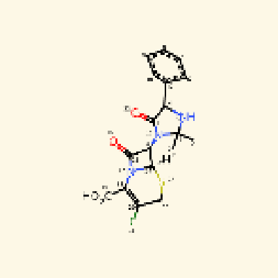 CC1(C)NC(c2ccccc2)C(=O)N1[C@@H]1C(=O)N2C(C(=O)O)=C(Cl)CS[C@H]12